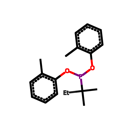 CCC(C)(C)P(Oc1ccccc1C)Oc1ccccc1C